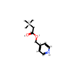 C[Si](C)(C)CC(=O)OCc1ccncc1